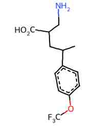 CC(CC(CN)C(=O)O)c1ccc(OC(F)(F)F)cc1